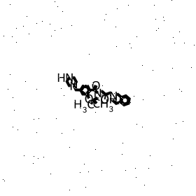 CC1(C)CN(C[C@H](O)CN2CCc3ccccc3C2)C(=O)c2ccc(CN3CCNCC3)cc2O1